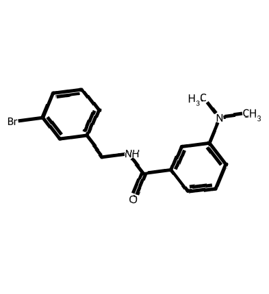 CN(C)c1cccc(C(=O)NCc2cccc(Br)c2)c1